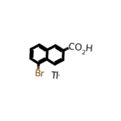 O=C(O)c1ccc2c(Br)cccc2c1.[Tl]